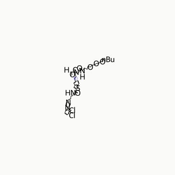 CCCCOCCOCCOCCCNC(=O)CN(C)C(=O)/C=C/c1ccc2sc(C(=O)NCCCCN3CCN(c4cccc(Cl)c4Cl)CC3)cc2c1